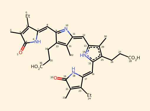 CCC1=C(C)C(=O)N/C1=C\C1=NC(=C/c2[nH]c(/C=C3\NC(=O)C(C)=C3CC)c(CCC(=O)O)c2C)/C(C)=C1CCC(=O)O